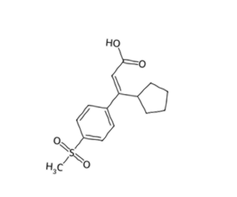 CS(=O)(=O)c1ccc(C(=CC(=O)O)C2CCCC2)cc1